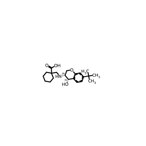 CC(C)(C)c1ccc2c(c1)OC[C@@H](NCC1(C(=O)O)CCCCC1)[C@H]2O